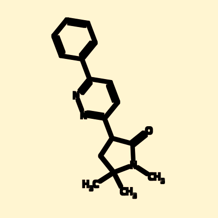 CN1C(=O)C(c2ccc(-c3ccccc3)nn2)CC1(C)C